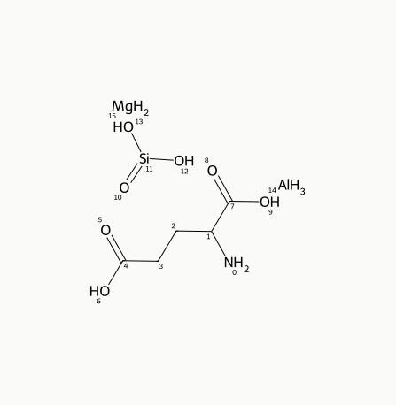 NC(CCC(=O)O)C(=O)O.O=[Si](O)O.[AlH3].[MgH2]